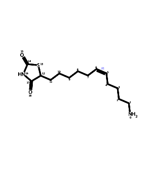 NCCCC/C=C\CCCCCC1SC(=O)NC1=O